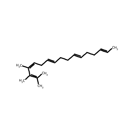 CC=CCCC=CCCC=CCC=C(C)C(C)=C(C)C